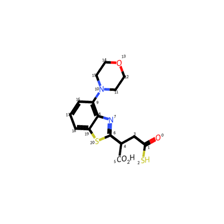 O=C(S)CC(C(=O)O)c1nc2c(N3CCOCC3)cccc2s1